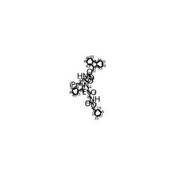 CC[C@H](CN(CCC(=O)CNC(=O)OCc1ccccc1)C(=O)[C@H](CCC(C)C)NC(=O)OCC1c2ccccc2-c2ccccc21)c1ccccc1